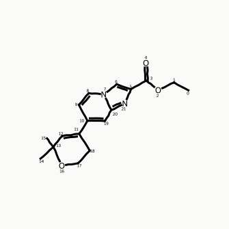 CCOC(=O)c1cn2ccc(C3=CC(C)(C)OCC3)cc2n1